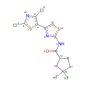 O=C(Nc1nc(-c2sc(Cl)nc2Cl)cs1)C1CCC(F)(F)C1